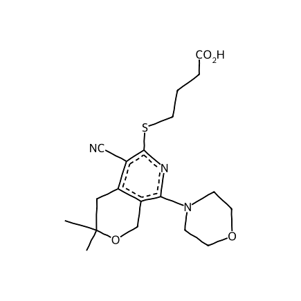 CC1(C)Cc2c(C#N)c(SCCCC(=O)O)nc(N3CCOCC3)c2CO1